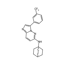 FC(F)(F)c1cccc(-c2cnc3ccc(NC45CCC(CC4)CC5)nn23)c1